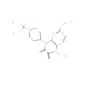 COc1ccc2c(n1)n(C1CCN(C(C)(C)C)CC1)c(=O)c(=O)n2C